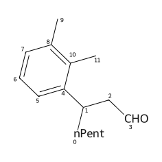 CCCCCC(CC=O)c1cccc(C)c1C